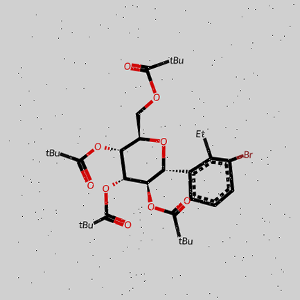 CCc1c(Br)cccc1[C@H]1O[C@H](COC(=O)C(C)(C)C)[C@@H](OC(=O)C(C)(C)C)[C@@H](OC(=O)C(C)(C)C)[C@@H]1OC(=O)C(C)(C)C